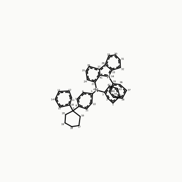 c1ccc(N(c2ccc(C3(c4ccccc4)CCCCC3)cc2)c2cccc3c4ccccc4n(-c4ccccc4)c23)cc1